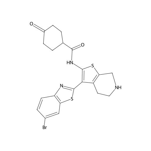 O=C1CCC(C(=O)Nc2sc3c(c2-c2nc4ccc(Br)cc4s2)CCNC3)CC1